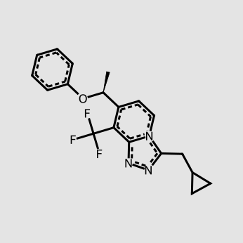 C[C@H](Oc1ccccc1)c1ccn2c(CC3CC3)nnc2c1C(F)(F)F